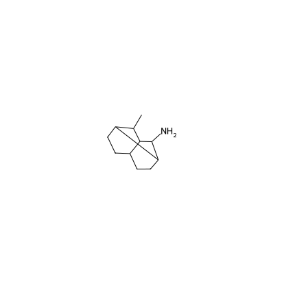 CC1C2CCC3CCC2C(N)C31